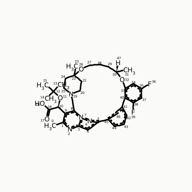 Cc1nc2cc3nn2c(c1[C@H](OC(C)(C)C)C(=O)O)N1CCC(C)(CC1)OCCC[C@H](C)Oc1cc(F)cc(F)c1-c1cccc-3c1